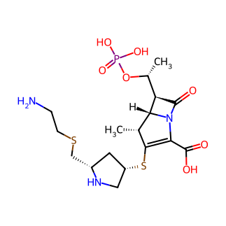 C[C@@H](OP(=O)(O)O)[C@H]1C(=O)N2C(C(=O)O)=C(S[C@@H]3CN[C@H](CSCCN)C3)[C@H](C)[C@H]12